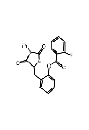 CC(C)N1C(=O)SC(Cc2ccccc2OC(=O)c2ccccc2F)C1=O